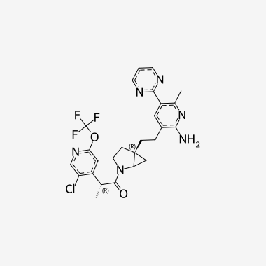 Cc1nc(N)c(CC[C@]23CCN(C(=O)[C@H](C)c4cc(OC(F)(F)F)ncc4Cl)C2C3)cc1-c1ncccn1